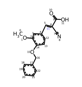 COc1cc(/C=C(\C#N)C(=O)O)ccc1OCc1ccccc1